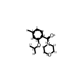 Cc1ccc(C(=O)N2CCOCC2)c(OC(C)C)c1